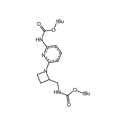 CC(C)(C)OC(=O)NCC1CCN1c1cccc(NC(=O)OC(C)(C)C)n1